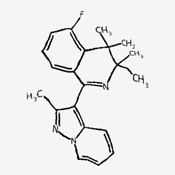 Cc1nn2ccccc2c1C1=NC(C)(C)C(C)(C)c2c(F)cccc21